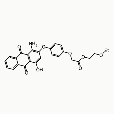 CCOCCOC(=O)COc1ccc(Oc2cc(O)c3c(c2N)C(=O)c2ccccc2C3=O)cc1